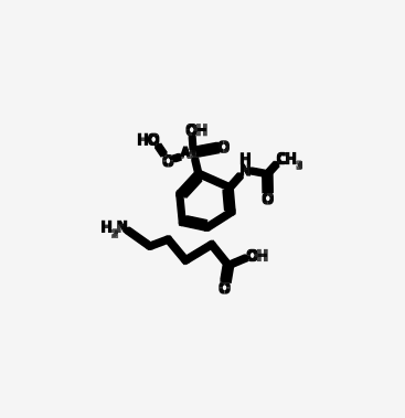 CC(=O)Nc1ccccc1[As](=O)(O)OO.NCCCCC(=O)O